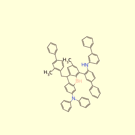 Cc1cc(-c2cc(-c3ccccc3)ccc2Nc2cccc(-c3ccccc3)c2)c2c(c1)C(Cc1ccc(-c3ccccc3)cc1C)c1ccc(N(c3ccccc3)c3ccccc3)cc1B2